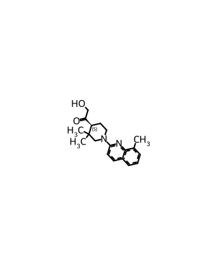 Cc1cccc2ccc(N3CC[C@H](C(=O)CO)C(C)(C)C3)nc12